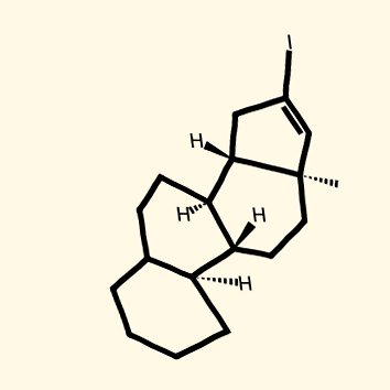 C[C@@]12C=C(I)C[C@H]1[C@@H]1CCC3CCCC[C@@H]3[C@H]1CC2